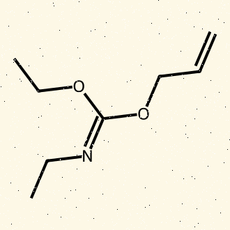 C=CCOC(=NCC)OCC